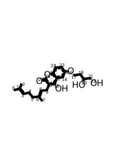 CC(C)=CCC/C(C)=C/Cc1c(O)c2cc(OCCC(O)CO)ccc2oc1=O